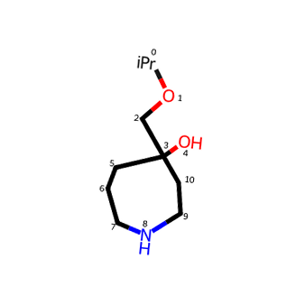 CC(C)OCC1(O)CCCNCC1